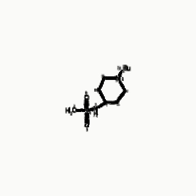 CC[C@H](C)N1CCC(NS(C)(=O)=O)CC1